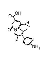 CC1=C(c2ccc(N)nc2)C(F)=CN2C(=O)CC(C(=O)O)=CC(C3CC3)=C12